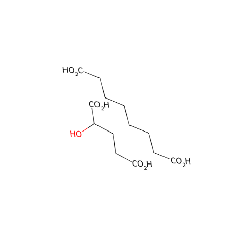 O=C(O)CCC(O)C(=O)O.O=C(O)CCCCCCC(=O)O